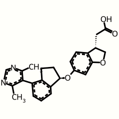 Cc1ncnc(C)c1-c1cccc2c1CC[C@H]2Oc1ccc2c(c1)OC[C@H]2CC(=O)O